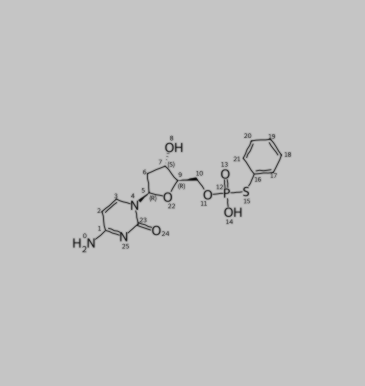 Nc1ccn([C@H]2C[C@H](O)[C@@H](COP(=O)(O)Sc3ccccc3)O2)c(=O)n1